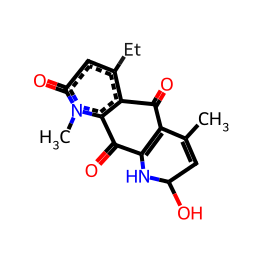 CCc1cc(=O)n(C)c2c1C(=O)C1=C(NC(O)C=C1C)C2=O